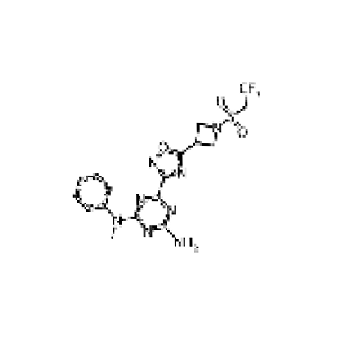 CN(c1ccccc1)c1nc(N)nc(-c2noc(C3CN(S(=O)(=O)CC(F)(F)F)C3)n2)n1